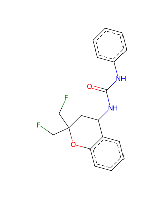 O=C(Nc1ccccc1)NC1CC(CF)(CF)Oc2ccccc21